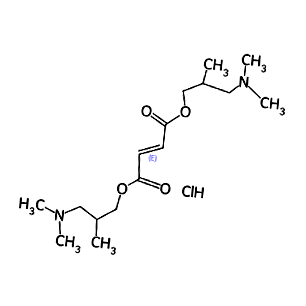 CC(COC(=O)/C=C/C(=O)OCC(C)CN(C)C)CN(C)C.Cl